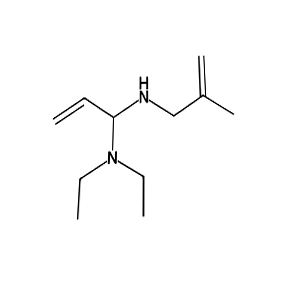 C=CC(NCC(=C)C)N(CC)CC